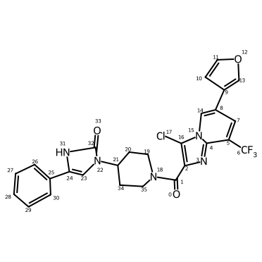 O=C(c1nc2c(C(F)(F)F)cc(-c3ccoc3)cn2c1Cl)N1CCC(n2cc(-c3ccccc3)[nH]c2=O)CC1